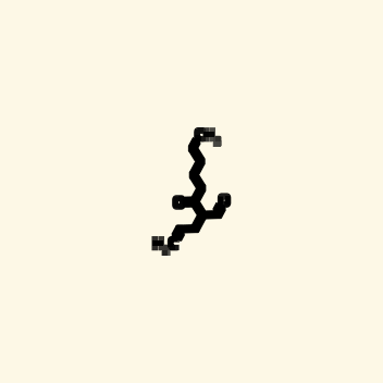 C=CCC(C=O)C(=O)CCCCC